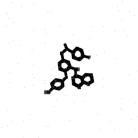 CC(Oc1ccc(Sc2ccc(O)cc2)c(Nc2ncnc3ncccc23)c1)c1ccc(F)cc1